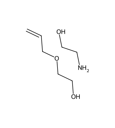 C=CCOCCO.NCCO